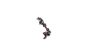 COC(=O)N[C@H](C(=O)N1CCC[C@H]1c1nc2c([nH]1)-c1ccc(C#Cc3ccc(-c4cnc([C@@H]5CCCN5C(=O)[C@H](NC(=O)OC)c5ccccc5)[nH]4)cc3)cc1CC2)C(C)C